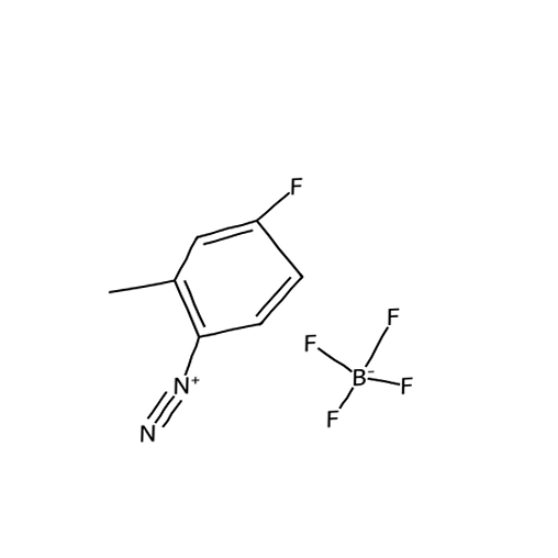 Cc1cc(F)ccc1[N+]#N.F[B-](F)(F)F